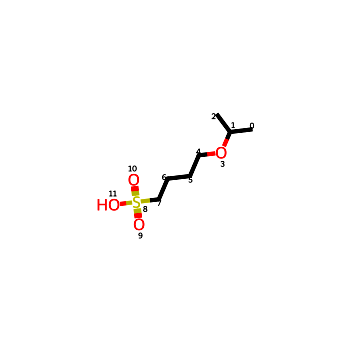 CC(C)OCCCCS(=O)(=O)O